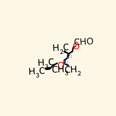 C=C/C(=C\C=C(/C=C)OCC(C)(C)C#CC)CCOC=O